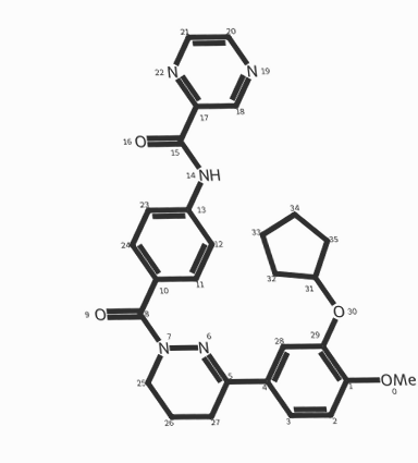 COc1ccc(C2=NN(C(=O)c3ccc(NC(=O)c4cnccn4)cc3)CCC2)cc1OC1CCCC1